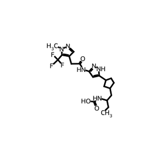 CCC(CC1CCC(c2cc(NC(=O)Cc3cnn(C)c3C(F)(F)F)n[nH]2)C1)NC(=O)O